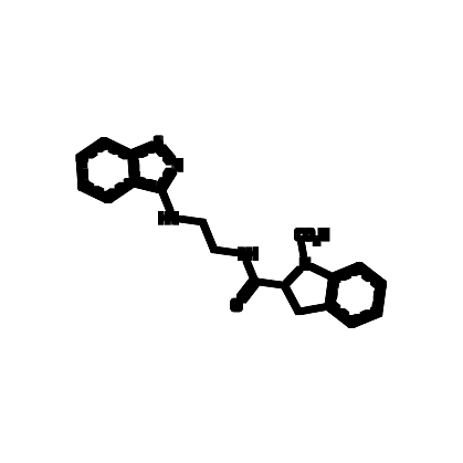 O=C(NCCNc1nsc2ccccc12)C1Cc2ccccc2N1C(=O)O